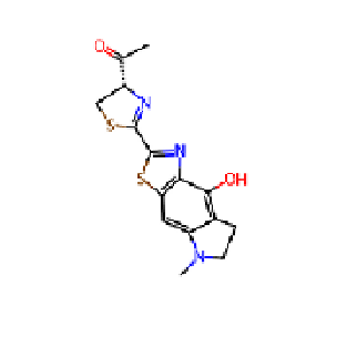 CC(=O)[C@H]1CSC(c2nc3c(O)c4c(cc3s2)N(C)CC4)=N1